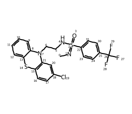 CN=S(=O)(NCCN1c2ccccc2Sc2ccc(Cl)cc21)c1ccc(C(F)(F)F)cc1